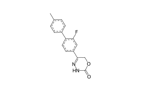 Cc1ccc(-c2ccc(C3=NNC(=O)OC3)cc2F)cc1